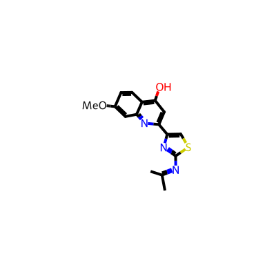 COc1ccc2c(O)cc(-c3csc(N=C(C)C)n3)nc2c1